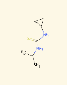 CC(C)NC(=S)NC1CC1